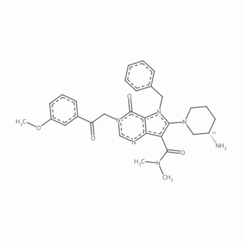 COc1cccc(C(=O)Cn2cnc3c(C(=O)N(C)C)c(N4CCC[C@H](N)C4)n(Cc4ccccc4)c3c2=O)c1